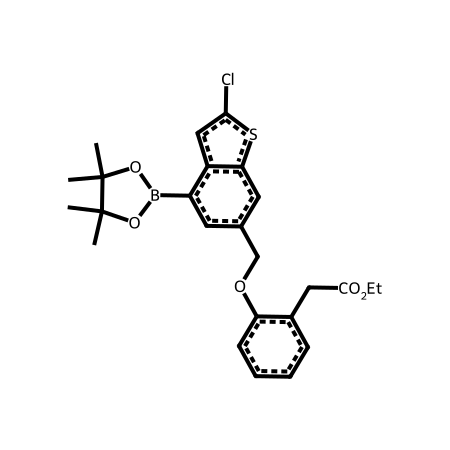 CCOC(=O)Cc1ccccc1OCc1cc(B2OC(C)(C)C(C)(C)O2)c2cc(Cl)sc2c1